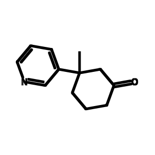 CC1(c2cccnc2)CCCC(=O)C1